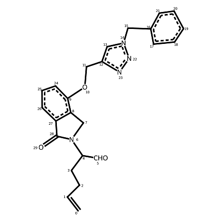 C=CCCC(C=O)N1Cc2c(OCc3cn(Cc4ccccc4)nn3)cccc2C1=O